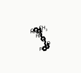 Cc1nc(CNC2CCN(CCn3c(=O)ccc4ccc(F)cc43)CC2)nc2c1CCC(=O)N2